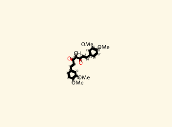 COc1ccc(C=CC(=O)C(C)C(=O)C=Cc2ccc(OC)c(OC)c2)cc1OC